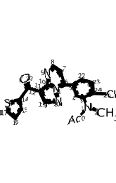 CC(=O)N(C)c1cc(-c2ccnc3c(C(=O)c4cccs4)cnn23)ccc1Cl